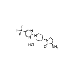 Cl.N[C@@H]1CCN(C2CCN(c3ncc(C(F)(F)F)cn3)CC2)C1=O